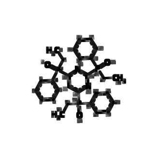 CCP(=O)(c1ccccc1)c1cc(P(=O)(CC)c2ccccc2)nc(P(=O)(CC)c2ccccc2)n1